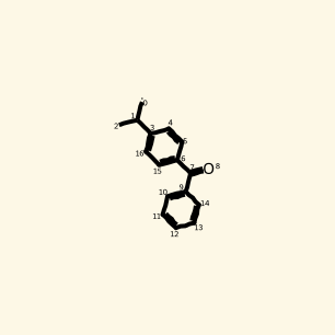 [CH2]C(C)c1ccc(C(=O)c2ccccc2)cc1